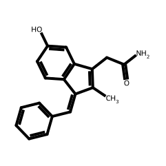 CC1=C(CC(N)=O)c2cc(O)ccc2/C1=C\c1ccccc1